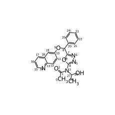 CC(=O)N(c1nnc(C(Oc2ccc3ncccc3c2)c2ccccc2)o1)C(C)O